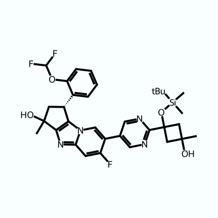 CC1(O)CC(O[Si](C)(C)C(C)(C)C)(c2ncc(-c3cn4c5c(nc4cc3F)C(C)(O)C[C@@H]5c3ccccc3OC(F)F)cn2)C1